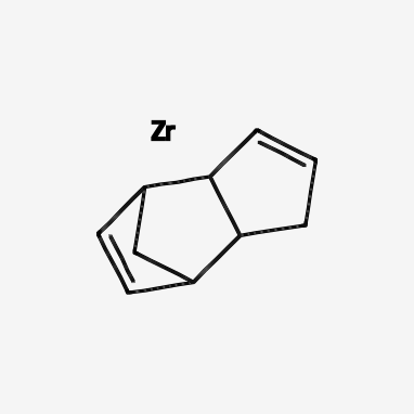 C1=CC2C3C=CC(C3)C2C1.[Zr]